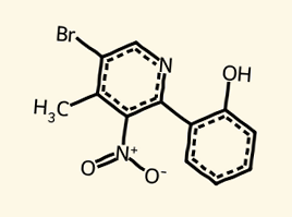 Cc1c(Br)cnc(-c2ccccc2O)c1[N+](=O)[O-]